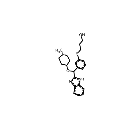 CN1CCC(OC(c2cccc(SCCCO)c2)c2nc3ccccc3[nH]2)CC1